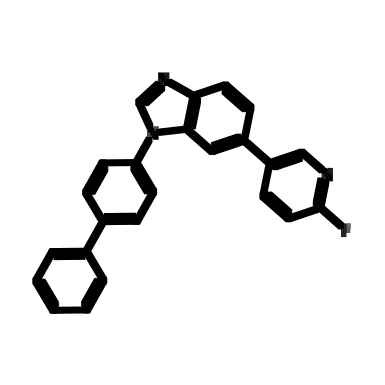 Fc1ccc(-c2ccc3ncn(-c4ccc(-c5ccccc5)cc4)c3c2)cn1